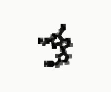 N#Cc1nc(N)nc2c1ncn2C1C=CC(CO)C1